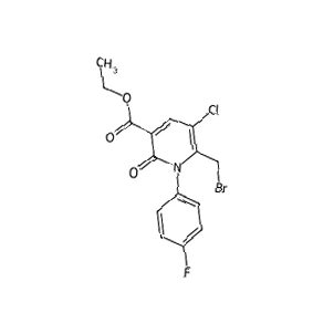 CCOC(=O)c1cc(Cl)c(CBr)n(-c2ccc(F)cc2)c1=O